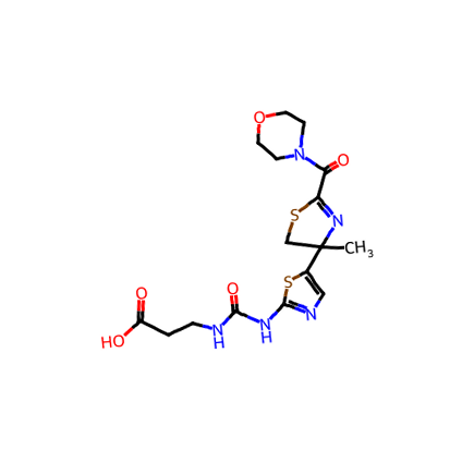 CC1(c2cnc(NC(=O)NCCC(=O)O)s2)CSC(C(=O)N2CCOCC2)=N1